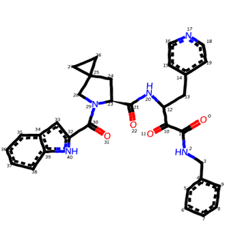 O=C(NCc1ccccc1)C(=O)C(Cc1ccncc1)NC(=O)[C@@H]1CC2(CC2)CN1C(=O)c1cc2ccccc2[nH]1